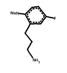 CNc1ccc(F)cc1CCCN